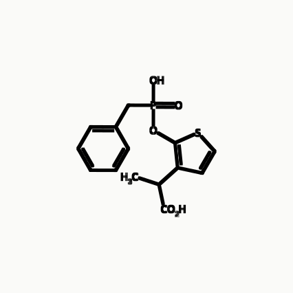 CC(C(=O)O)c1ccsc1OP(=O)(O)Cc1ccccc1